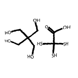 O=C(O)C(S)(S)S.OCC(CO)(CO)CO